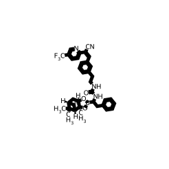 CC1(C)[C@@H]2C[C@H]3OB(C(Cc4ccccc4)NC(=O)NCCc4cccc(C=C(C#N)c5ccc(C(F)(F)F)cn5)c4)O[C@@]3(C)[C@H]1C2